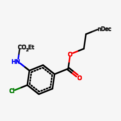 CCCCCCCCCCCCOC(=O)c1ccc(Cl)c(NC(=O)OCC)c1